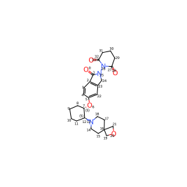 O=C1c2ccc(O[C@H]3CCCC[C@@H]3N3CCC4(CC3)COC4)cc2CN1N1C(=O)CCCC1=O